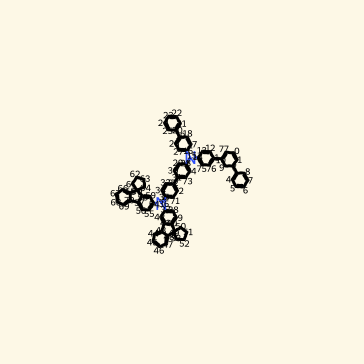 C1=CC(c2ccccc2)CC(c2ccc(N(c3ccc(-c4ccccc4)cc3)c3ccc(-c4ccc(N(c5ccc6c(c5)-c5ccccc5C65CCCC5)c5ccc6c(c5)C5(CCCC5)c5ccccc5-6)cc4)cc3)cc2)=C1